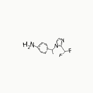 CC(c1ccc(N)cc1)n1ccnc1C(F)F